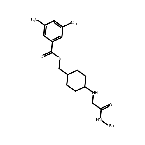 CCC(C)NC(=O)CNC1CCC(CNC(=O)c2cc(C(F)(F)F)cc(C(F)(F)F)c2)CC1